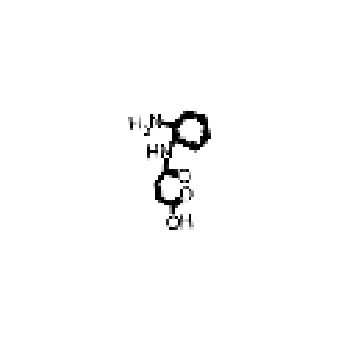 Nc1ccccc1NC(=O)/C=C\C(=O)O